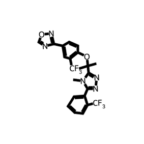 Cn1c(-c2ccccc2C(F)(F)F)nnc1C(C)(C)Oc1ccc(-c2ncon2)cc1C(F)(F)F